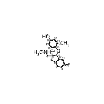 CNCC1(F)Cc2ccc(F)cc2C1Oc1ccc(O)cc1C